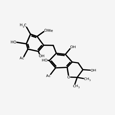 COc1c(C)c(O)c(C(C)=O)c(O)c1Cc1c(O)c2c(c(C(C)=O)c1O)OC(C)(C)C(O)C2